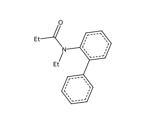 CCC(=O)N(CC)c1ccccc1-c1ccccc1